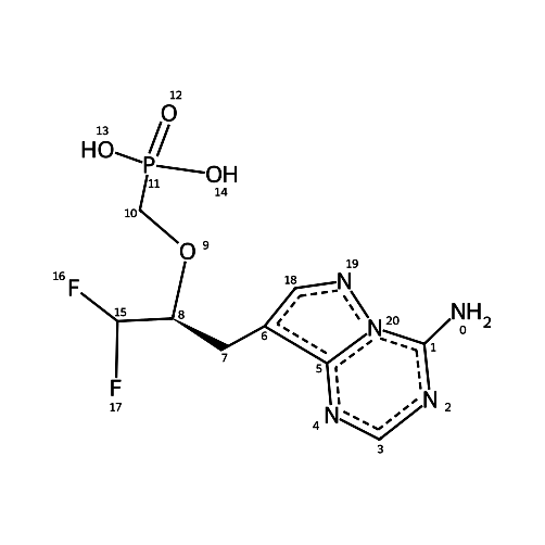 Nc1ncnc2c(C[C@H](OCP(=O)(O)O)C(F)F)cnn12